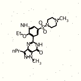 CCCc1nn(C)c2c(=O)[nH]c(-c3cc(S(=O)(=O)N4CCN(C)CC4)ccc3OCC)nc12.N